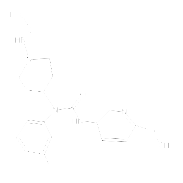 COBN1CCC(N(C(=O)Nc2ccc(OC)nc2)c2cccc(F)c2)CC1